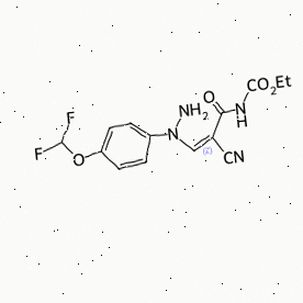 CCOC(=O)NC(=O)/C(C#N)=C\N(N)c1ccc(OC(F)F)cc1